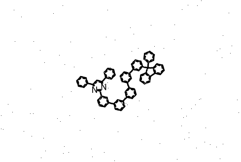 c1ccc(-c2cc(-c3ccccc3)nc(-c3cccc(-c4cccc(-c5cccc(-c6cccc(-c7cccc(C8(c9ccccc9)c9ccccc9-c9ccccc98)c7)c6)c5)c4)c3)n2)cc1